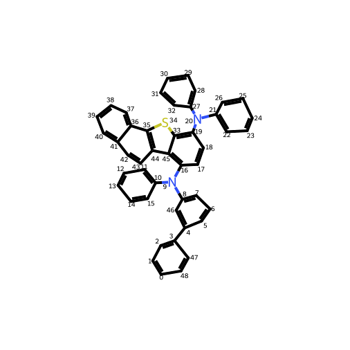 c1ccc(-c2cccc(N(c3ccccc3)c3ccc(N(c4ccccc4)c4ccccc4)c4sc5c6ccccc6ccc5c34)c2)cc1